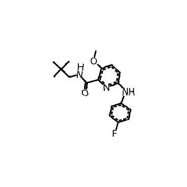 COc1ccc(Nc2ccc(F)cc2)nc1C(=O)NCC(C)(C)C